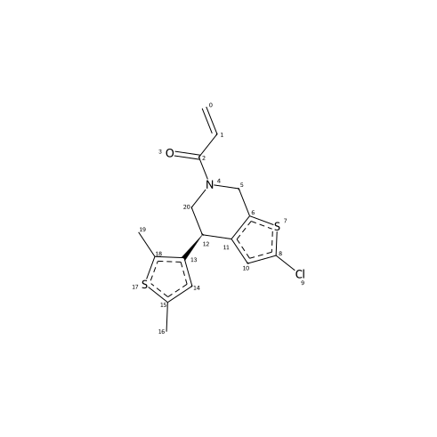 C=CC(=O)N1Cc2sc(Cl)cc2[C@@H](c2cc(C)sc2C)C1